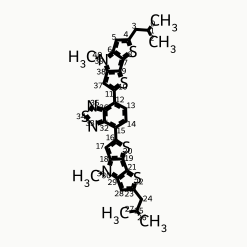 CC(C)Cc1cc2c(s1)c1sc(-c3ccc(-c4cc5c(s4)c4sc(CC(C)C)cc4n5C)c4nsnc34)cc1n2C